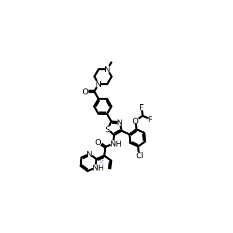 C=C/C(C(=O)Nc1sc(-c2ccc(C(=O)N3CCN(C)CC3)cc2)nc1-c1cc(Cl)ccc1OC(F)F)=C1/N=CC=CN1